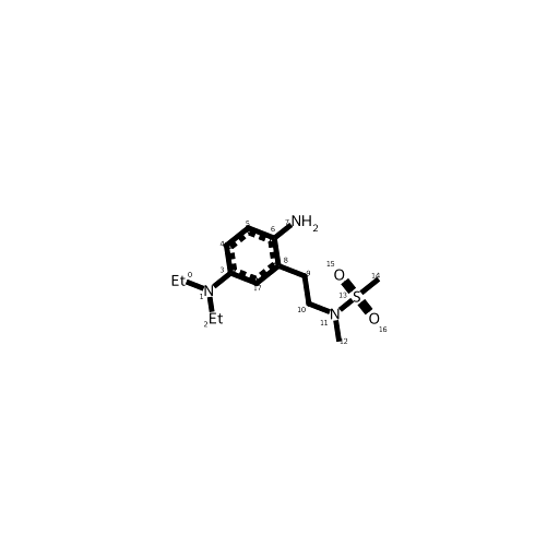 CCN(CC)c1ccc(N)c(CCN(C)S(C)(=O)=O)c1